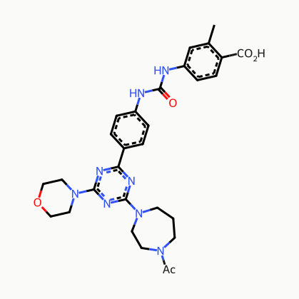 CC(=O)N1CCCN(c2nc(-c3ccc(NC(=O)Nc4ccc(C(=O)O)c(C)c4)cc3)nc(N3CCOCC3)n2)CC1